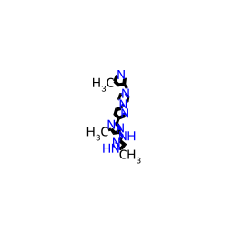 Cc1cncc(CN2CCN(c3ccc(-c4nc(C)cc(Nc5cc(C)[nH]n5)n4)cn3)CC2)c1